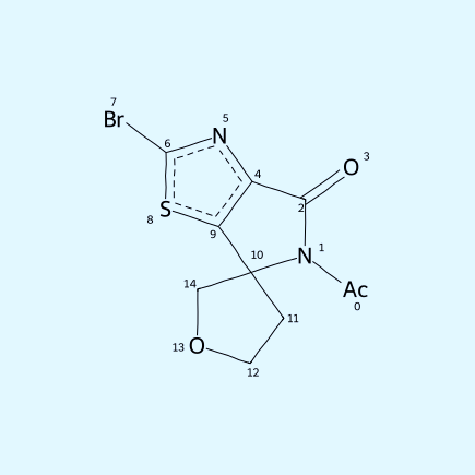 CC(=O)N1C(=O)c2nc(Br)sc2C12CCOC2